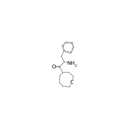 NC(Cc1ccccc1)C(=O)C1CCCCCCC1